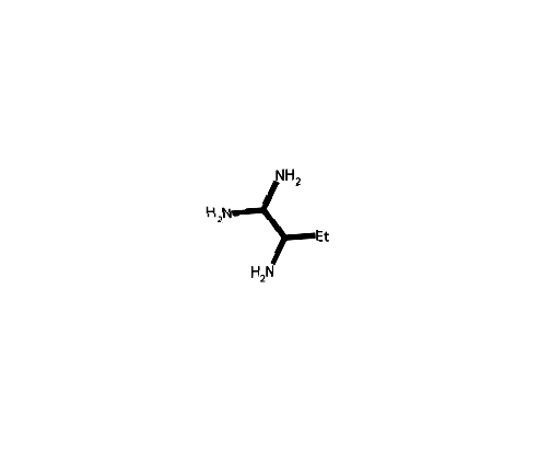 CCC(N)[C](N)N